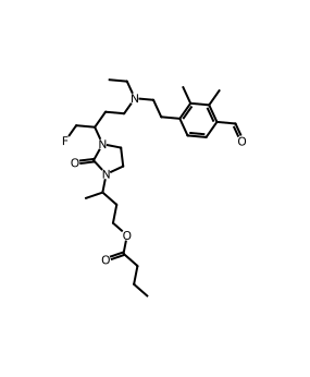 CCCC(=O)OCCC(C)N1CCN(C(CF)CCN(CC)CCc2ccc(C=O)c(C)c2C)C1=O